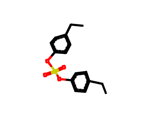 CCc1ccc(OS(=O)(=O)Oc2ccc(CC)cc2)cc1